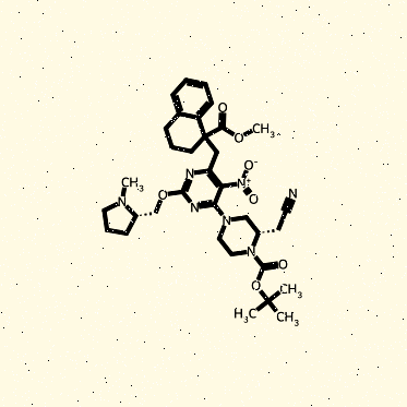 COC(=O)C1(Cc2nc(OC[C@@H]3CCCN3C)nc(N3CCN(C(=O)OC(C)(C)C)[C@@H](CC#N)C3)c2[N+](=O)[O-])CCCc2ccccc21